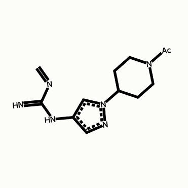 C=NC(=N)Nc1cnn(C2CCN(C(C)=O)CC2)c1